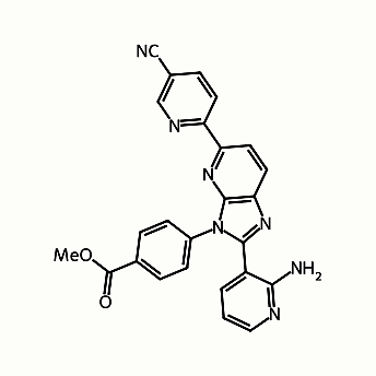 COC(=O)c1ccc(-n2c(-c3cccnc3N)nc3ccc(-c4ccc(C#N)cn4)nc32)cc1